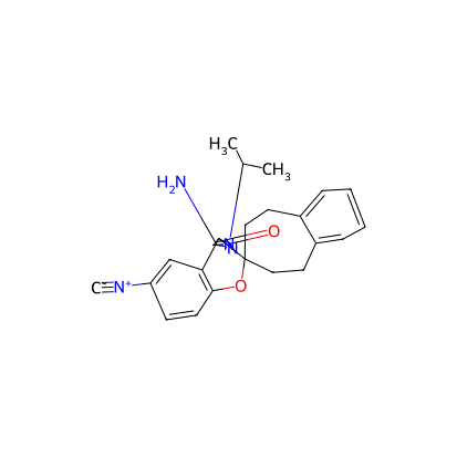 [C-]#[N+]c1ccc2c(c1)C1(N=C(N)N(C(C)C)C1=O)C1(CCc3ccccc3CC1)O2